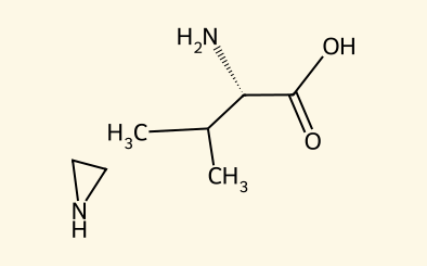 C1CN1.CC(C)[C@H](N)C(=O)O